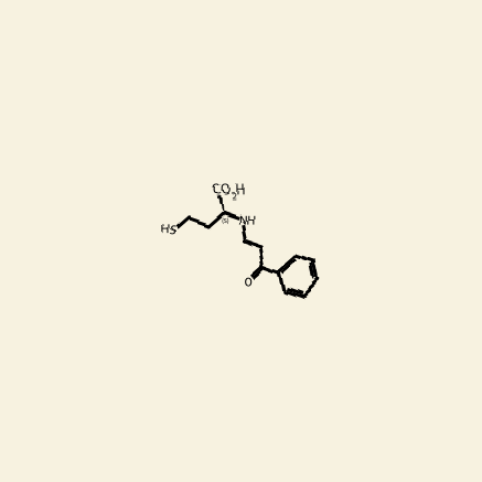 O=C(CCN[C@@H](CCS)C(=O)O)c1ccccc1